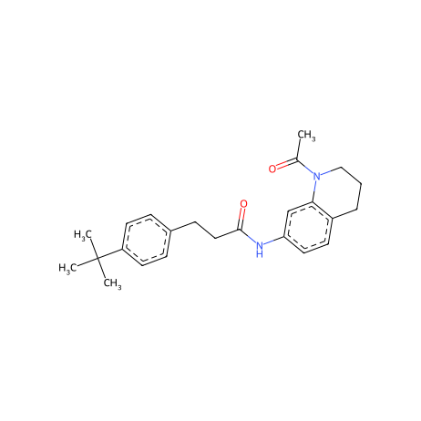 CC(=O)N1CCCc2ccc(NC(=O)CCc3ccc(C(C)(C)C)cc3)cc21